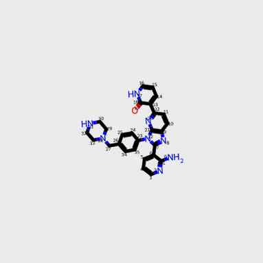 Nc1ncccc1-c1nc2ccc(-c3ccc[nH]c3=O)nc2n1-c1ccc(CN2CCNCC2)cc1